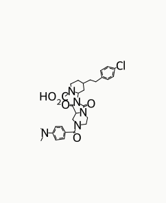 CN(C)c1ccc(C(=O)N2CCN3C(=O)N(C4CC(CCc5ccc(Cl)cc5)CCN4C(=O)O)C(=O)C3C2)cc1